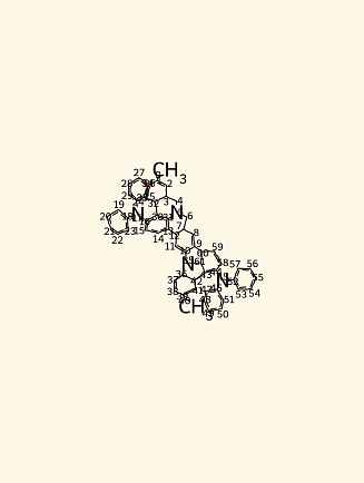 CC1=CC2CN3CC4C=C5C(=CC4c4ccc(N(c6ccccc6)c6ccccc6)c(c43)C2C=C1)N1C2C=CC(C)=CC2C2=C(N(c3ccccc3)c3ccccc3)C=CC5C21